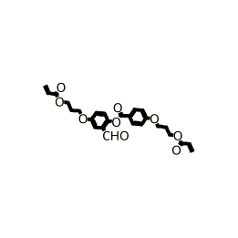 C=CC(=O)OCCCOc1ccc(C(=O)Oc2ccc(OCCCOC(=O)C=C)cc2C=O)cc1